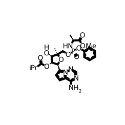 COC(=O)[C@H](C)N[P@](=O)(OC[C@@]1(C)O[C@@H](c2ccc3c(N)ncnn23)[C@H](OC(=O)C(C)C)[C@@H]1O)Oc1ccccc1